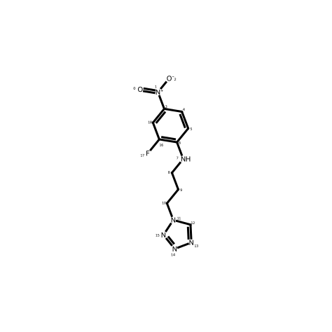 O=[N+]([O-])c1ccc(NCCCn2cnnn2)c(F)c1